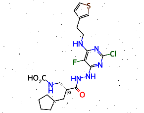 O=C(O)NC[C@@H](CC1CCCC1)C(=O)NNc1nc(Cl)nc(NCCc2ccsc2)c1F